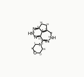 C1CN(C2=NNCC3=C4C(=NNN=C24)CC3)CCO1